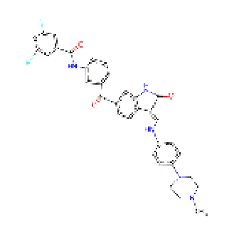 CN1CCN(c2ccc(N/C=C3/C(=O)Nc4cc(C(=O)c5cccc(NC(=O)c6cc(F)cc(F)c6)c5)ccc43)cc2)CC1